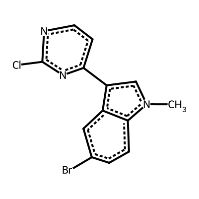 Cn1cc(-c2ccnc(Cl)n2)c2cc(Br)ccc21